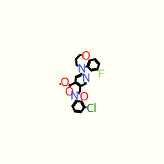 COC(=O)c1cc(N2CCCOc3ccc(F)cc32)ncc1-c1nc2cccc(Cl)c2o1